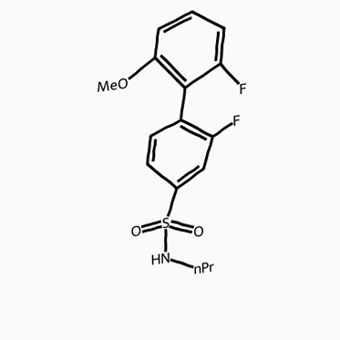 CCCNS(=O)(=O)c1ccc(-c2c(F)cccc2OC)c(F)c1